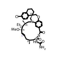 CC[C@H]1[C@@H](OC)/C=C/C[C@H](C)CS(=O)(NC(N)=O)=NC(=O)c2ccc3c(c2)N(C[C@@H]1C)C[C@@]1(CCCc2cc(Cl)ccc21)CO3